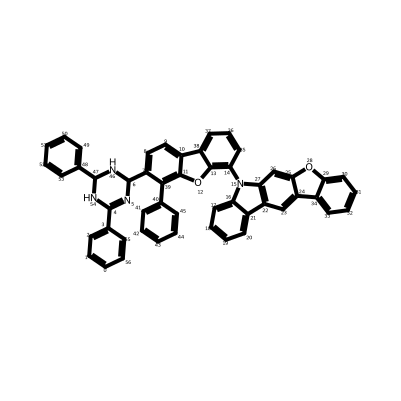 c1ccc(C2=NC(c3ccc4c(oc5c(-n6c7ccccc7c7cc8c(cc76)oc6ccccc68)cccc54)c3-c3ccccc3)NC(c3ccccc3)N2)cc1